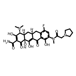 CN(C(=O)CN1CCCC1)c1cc(F)c2c(c1O)C(=O)C1=C(O)[C@]3(O)C(=O)C(C(N)=O)=C(O)[C@@H](N(C)C)[C@@H]3C[C@@H]1C2